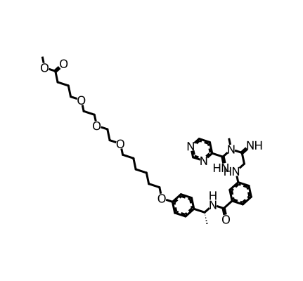 COC(=O)CCCOCCOCCOCCCCCCOc1ccc([C@@H](C)NC(=O)c2cccc(NCC(=N)N(C)C(=N)c3ccncn3)c2)cc1